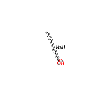 CCCCCCCCCCCCCCCCCC(=O)O.[NaH]